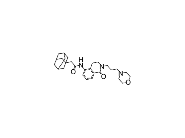 O=C(CC12CC3CC(CC(C3)C1)C2)Nc1cccc2c1CCN(CCCN1CCOCC1)C2=O